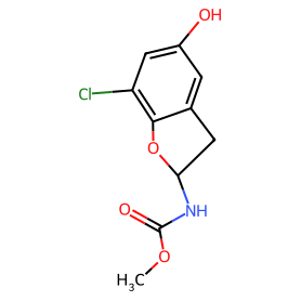 COC(=O)NC1Cc2cc(O)cc(Cl)c2O1